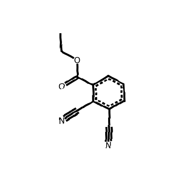 CCOC(=O)c1cccc(C#N)c1C#N